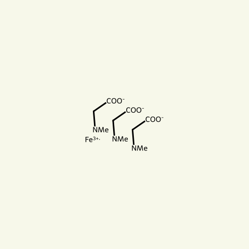 CNCC(=O)[O-].CNCC(=O)[O-].CNCC(=O)[O-].[Fe+3]